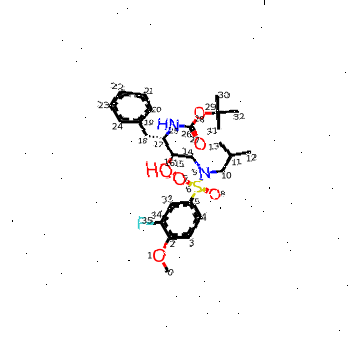 COc1ccc(S(=O)(=O)N(CC(C)C)C[C@@H](O)[C@H](Cc2ccccc2)NC(=O)OC(C)(C)C)cc1F